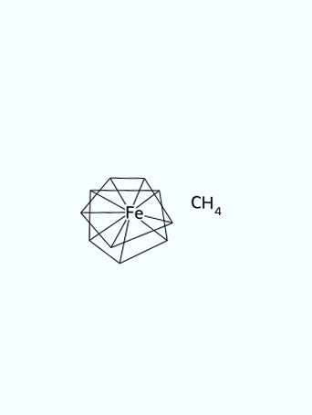 C.[CH]12[CH]3[CH]4[CH]5[CH]1[Fe]23451678[CH]2[CH]1[CH]6[CH]7[CH]28